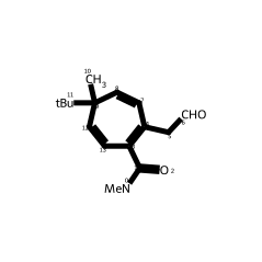 CNC(=O)C1=C(CC=O)C=CC(C)(C(C)(C)C)C=C1